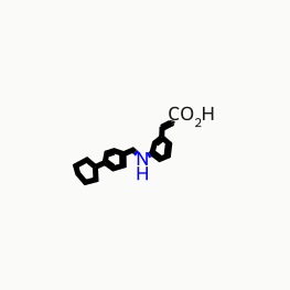 O=C(O)C=Cc1cccc(NCc2ccc(C3CCCCC3)cc2)c1